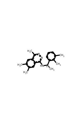 Cc1cc2c(C)nnc(N[C@H](C)c3cccc(C)c3C)c2cc1C